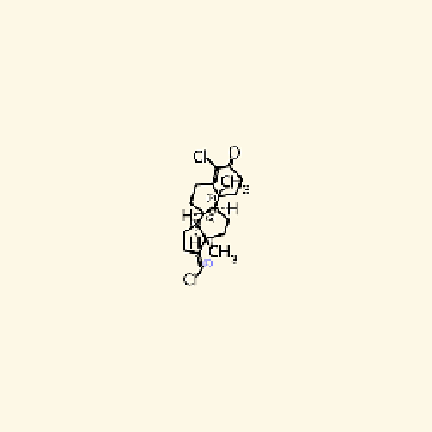 C[C@]12CCC(=O)C(Cl)=C1CC[C@@H]1[C@@H]2CC[C@]2(C)/C(=C/Cl)CC[C@@H]12